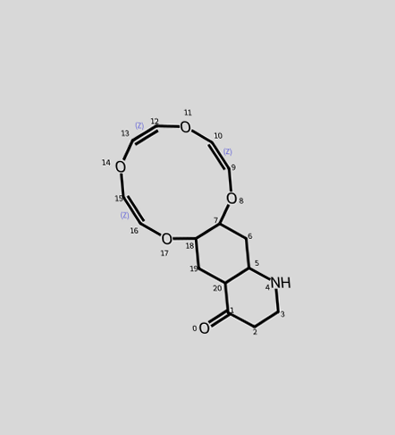 O=C1CCNC2CC3O/C=C\O/C=C\O/C=C\OC3CC12